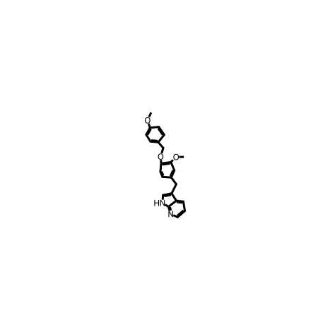 COc1ccc(COc2ccc(Cc3c[nH]c4ncccc34)cc2OC)cc1